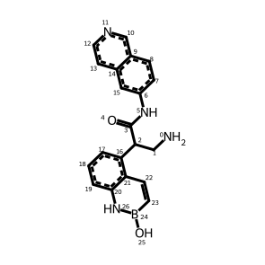 NCC(C(=O)Nc1ccc2cnccc2c1)c1cccc2c1C=CB(O)N2